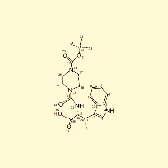 C[C@@H](c1c[nH]c2ccccc12)[C@@H](NC(=O)N1CCN(C(=O)OC(C)(C)C)CC1)C(=O)O